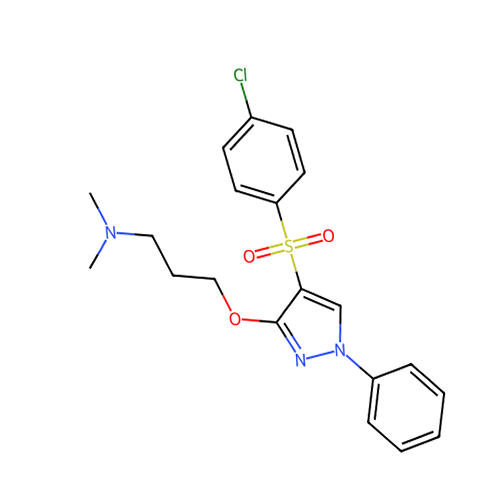 CN(C)CCCOc1nn(-c2ccccc2)cc1S(=O)(=O)c1ccc(Cl)cc1